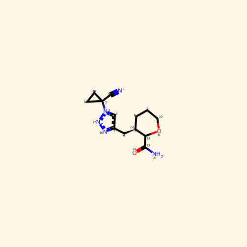 N#CC1(n2cc([CH][C@H]3CCCOC3C(N)=O)nn2)CC1